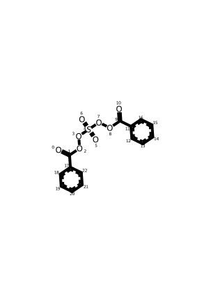 O=C(OOS(=O)(=O)OOC(=O)c1ccccc1)c1ccccc1